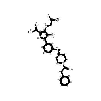 O=C(O)COc1c(C(=O)O)sc(-c2cccc(NC3CCN(C(=O)Cc4ccccc4)CC3)c2)c1Br